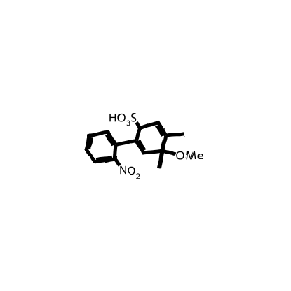 COC1(C)C=C(c2ccccc2[N+](=O)[O-])C(S(=O)(=O)O)C=C1C